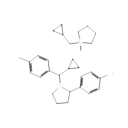 CC[N+]1(CC2CC2)CCCC1.Clc1ccc(C2CCCN2C(c2ccc(Cl)cc2)C2CC2)cc1